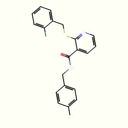 Cc1ccc(CNC(=O)c2cccnc2SCc2ccccc2Cl)cc1